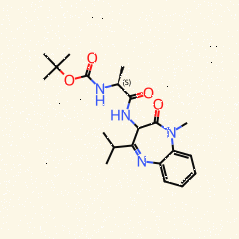 CC(C)C1=Nc2ccccc2N(C)C(=O)C1NC(=O)[C@H](C)NC(=O)OC(C)(C)C